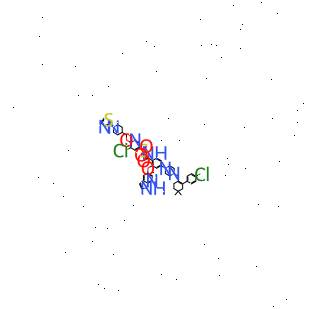 CC1(C)CCC(CN2CCN(c3ccc(C(=O)NS(=O)(=O)c4cnc(OCC5CCN(c6nccs6)CC5)c(Cl)c4)c(Oc4cnc5[nH]ccc5c4)c3)CC2)=C(c2ccc(Cl)cc2)C1